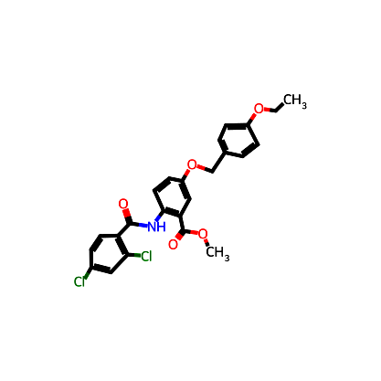 CCOc1ccc(COc2ccc(NC(=O)c3ccc(Cl)cc3Cl)c(C(=O)OC)c2)cc1